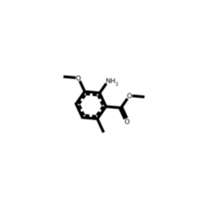 COC(=O)c1c(C)ccc(OC)c1N